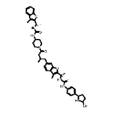 Cc1c([C@H](C)NC(=O)NC2CCN(C(=O)CC(C)Cc3ccc4c(C)c([C@@H](C)NC(=O)Nc5ccc(C6CCC(O)N6)cc5)oc4c3)CC2)oc2ccccc12